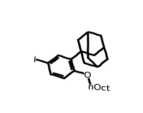 CCCCCCCCOc1ccc(I)cc1C12CC3CC(CC(C3)C1)C2